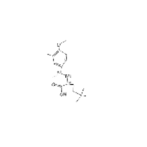 COc1ccc([C@@H](C)N[C@@H](CCC(C)(C)C)C(=O)O)cc1C